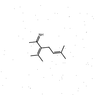 CC(=N)C(CC=C(C)C)=C(C)C